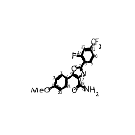 COc1ccc(-c2oc(-c3ccc(C(F)(F)F)cc3F)nc2C(N)=O)cc1